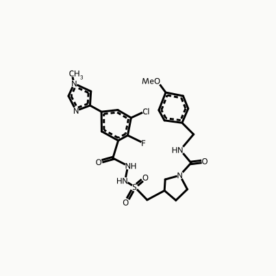 COc1ccc(CNC(=O)N2CCC(CS(=O)(=O)NNC(=O)c3cc(-c4cn(C)cn4)cc(Cl)c3F)C2)cc1